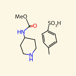 COC(=O)NC1CCNCC1.Cc1ccc(S(=O)(=O)O)cc1